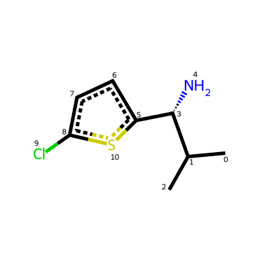 CC(C)[C@@H](N)c1ccc(Cl)s1